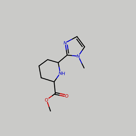 COC(=O)C1CCCC(c2nccn2C)N1